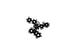 c1ccc(-c2ccc3oc4c(-c5ccc6c(c5)sc5ccccc56)nc(-n5c6ccccc6c6cc7ccccc7cc65)nc4c3c2)cc1